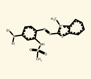 CCN(CC)c1ccc(N=Nc2sc3ccccc3[n+]2C)c(NS(C)(=O)=O)c1